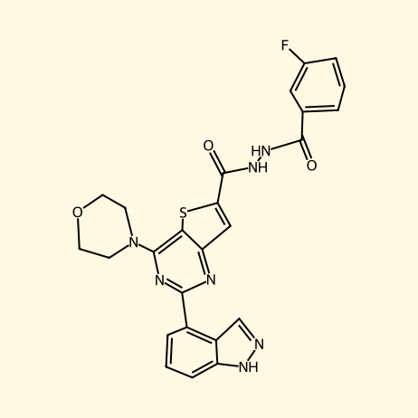 O=C(NNC(=O)c1cc2nc(-c3cccc4[nH]ncc34)nc(N3CCOCC3)c2s1)c1cccc(F)c1